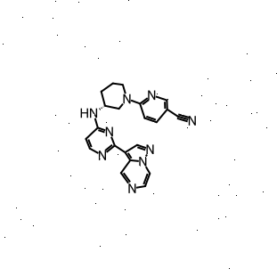 N#Cc1ccc(N2CCC[C@@H](Nc3ccnc(-c4cnn5ccncc45)n3)C2)nc1